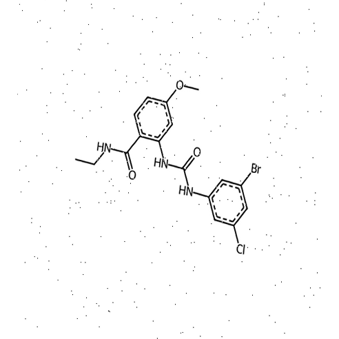 CCNC(=O)c1ccc(OC)cc1NC(=O)Nc1cc(Cl)cc(Br)c1